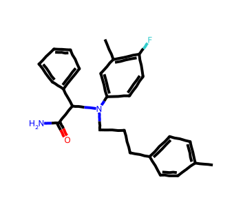 Cc1ccc(CCCN(c2ccc(F)c(C)c2)C(C(N)=O)c2ccccc2)cc1